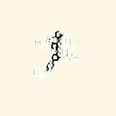 COc1cc(N2CCN(C)CC2)ccc1Nc1ncc2c(n1)N(C)c1cnccc1C(=O)N2C